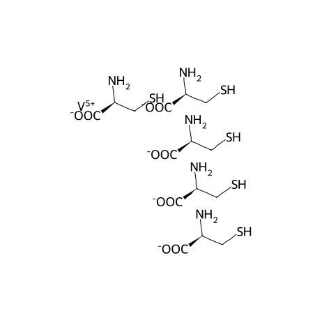 N[C@@H](CS)C(=O)[O-].N[C@@H](CS)C(=O)[O-].N[C@@H](CS)C(=O)[O-].N[C@@H](CS)C(=O)[O-].N[C@@H](CS)C(=O)[O-].[V+5]